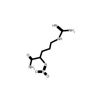 N=C(N)NCCCC(N=S(=O)=O)C(N)=O